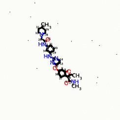 CNC(=O)c1c(C)oc2cc(Oc3ccnc(Nc4cccc(NC(=O)CN5CCC(C)CC5)c4)n3)ccc12